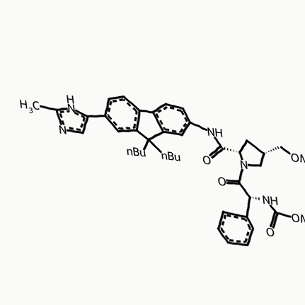 CCCCC1(CCCC)c2cc(NC(=O)[C@@H]3C[C@H](COC)CN3C(=O)[C@H](NC(=O)OC)c3ccccc3)ccc2-c2ccc(-c3cnc(C)[nH]3)cc21